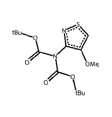 COc1csnc1N(C(=O)OC(C)(C)C)C(=O)OC(C)(C)C